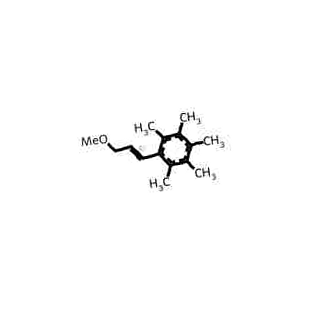 COC/C=C/c1c(C)c(C)c(C)c(C)c1C